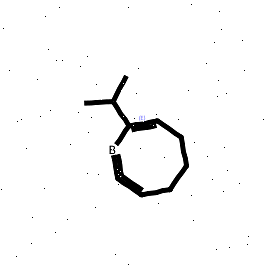 CC(C)/C1=C/CCCC=C=B1